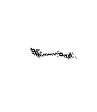 C[C@@H]1C[C@H]2C3CCC4=CC(=O)C=C[C@]4(C)[C@@]3(F)[C@@H](O)C[C@@]23O[C@]13C(=O)NCCCOCCCCOCCCNC(=O)c1ccc(N(C)Cc2cnc3nc(N)nc(N)c3n2)cc1